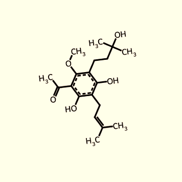 COc1c(CCC(C)(C)O)c(O)c(CC=C(C)C)c(O)c1C(C)=O